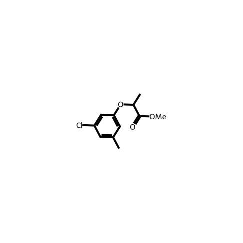 COC(=O)C(C)Oc1cc(C)cc(Cl)c1